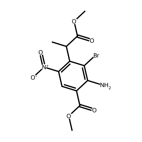 COC(=O)c1cc([N+](=O)[O-])c(C(C)C(=O)OC)c(Br)c1N